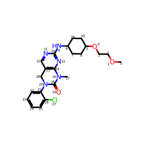 COCCOC1CCC(Nc2ncc3c(n2)N(C)C(=O)N(c2ccccc2Cl)C3)CC1